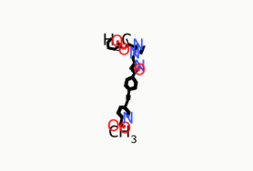 COC(=O)c1ccc(C#Cc2ccc(-c3cc(Cn4ccnc4[C@H](C)OC4CCCCO4)no3)cc2)cn1